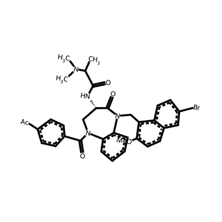 COc1ccc2cc(Br)ccc2c1CN1C(=O)[C@@H](NC(=O)C(C)N(C)C)CN(C(=O)c2ccc(C(C)=O)cc2)c2ccccc21